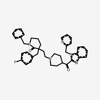 O=C(c1nc2ccccc2n1Cc1ccccn1)C1CCN(CCC2(Cc3ccc(F)cc3)CCCN(Cc3ccccc3)C2=O)CC1